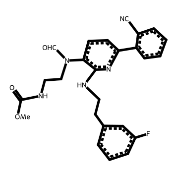 COC(=O)NCCN(C=O)c1ccc(-c2ccccc2C#N)nc1NCCc1cccc(F)c1